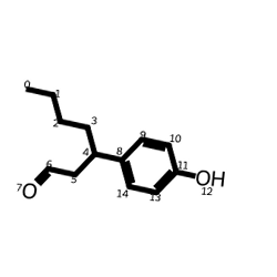 CCCCC(CC=O)c1ccc(O)cc1